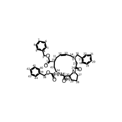 O=C(OCc1ccccc1)[C@H]1CC=CCN(Cc2ccccc2)CC(=O)N2CCC[C@H]2C(=O)N[C@H](C(=O)OCc2ccccc2)C1